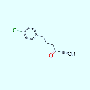 C#CC(=O)CCCc1ccc(Cl)cc1